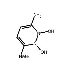 CNC1=CC=C(N)N(O)N1O